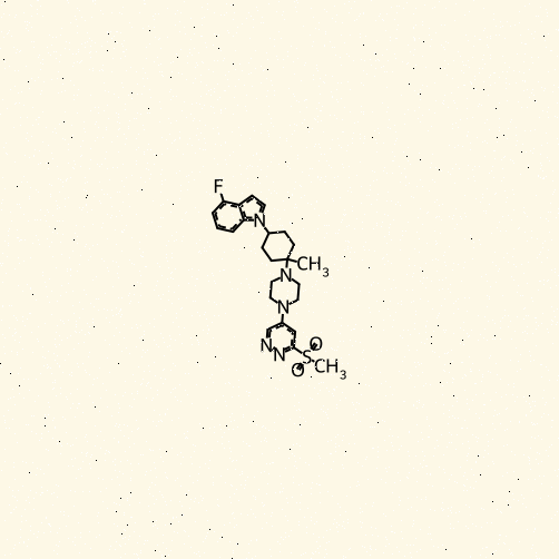 CC1(N2CCN(c3cnnc(S(C)(=O)=O)c3)CC2)CCC(n2ccc3c(F)cccc32)CC1